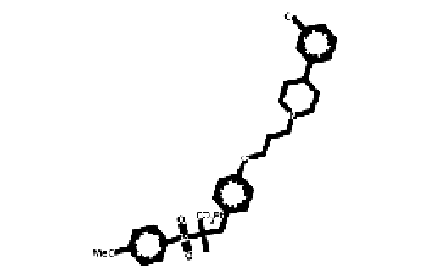 CCOC(=O)C(C)(Cc1ccc(OCCCN2CCC(c3cccc(Cl)c3)CC2)cc1)S(=O)(=O)c1ccc(OC)cc1